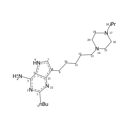 CCCCc1nc(N)c2[nH]cc(CCCCCN3CCN(C(C)C)CC3)c2n1